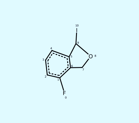 Fc1cccc2c1COC2I